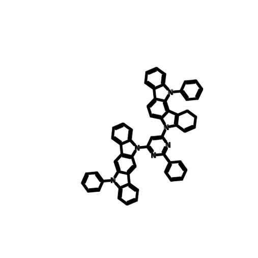 C1=Cc2c(c3c(ccc4c5ccccc5n(-c5ccccc5)c43)n2-c2cc(-n3c4ccccc4c4cc5c(cc43)c3ccccc3n5-c3ccccc3)nc(-c3ccccc3)n2)CC1